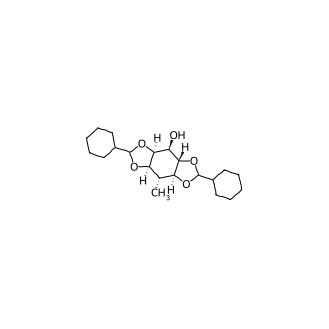 C[C@@H]1[C@H]2OC(C3CCCCC3)O[C@H]2[C@@H](O)[C@@H]2OC(C3CCCCC3)O[C@@H]12